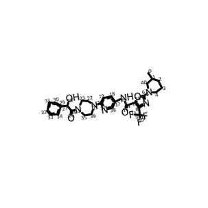 CC1CCCN(c2nc(C(F)(F)F)c(C(=O)Nc3ccc(N4CCN(C(=O)C(O)c5ccccc5)CC4)nc3)o2)C1